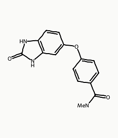 CNC(=O)c1ccc(Oc2ccc3[nH]c(=O)[nH]c3c2)cc1